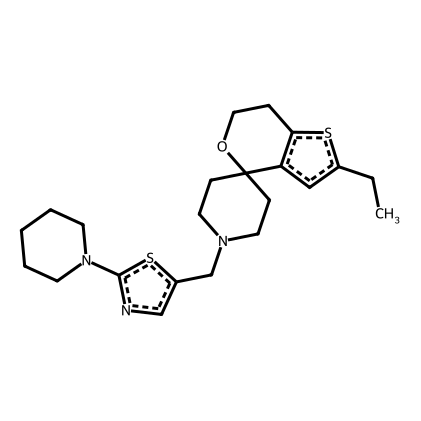 CCc1cc2c(s1)CCOC21CCN(Cc2cnc(N3CCCCC3)s2)CC1